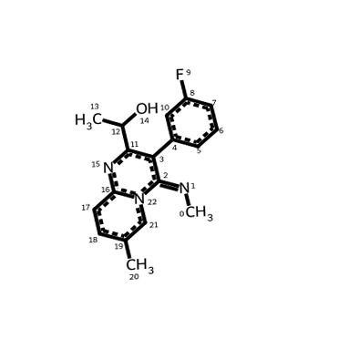 C/N=c1/c(-c2cccc(F)c2)c(C(C)O)nc2ccc(C)cn12